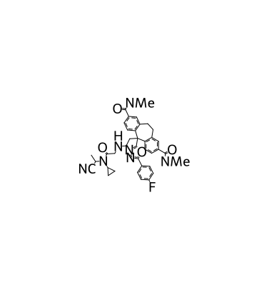 CNC(=O)c1ccc2c(c1)CCc1cc(C(=O)NC)ccc1C2(CCNCC(=O)N(C(C)C#N)C1CC1)c1nnc(-c2ccc(F)cc2)o1